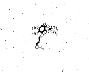 CCCCOC1C(O)[C@H](O)C[C@H]2OC(C)(C)O[C@@H]12